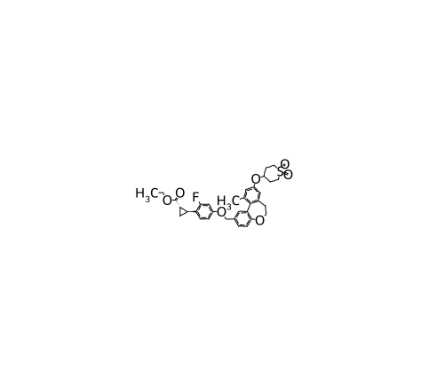 CCOC(=O)[C@H]1C[C@@H]1c1ccc(OCc2ccc3c(c2)-c2c(C)cc(OC4CCS(=O)(=O)CC4)cc2CCO3)cc1F